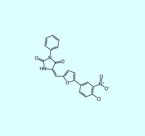 O=C1N/C(=C/c2ccc(-c3ccc(Cl)c([N+](=O)[O-])c3)o2)C(=O)N1c1ccccc1